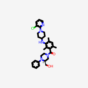 Cc1cc(C)c(C(=O)N2CCN(c3ccccc3)[C@H](CO)C2)c(C)c1NC1CCN(c2ncccc2Cl)CC1